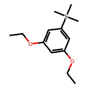 CCOc1cc(OCC)cc([Si](C)(C)C)c1